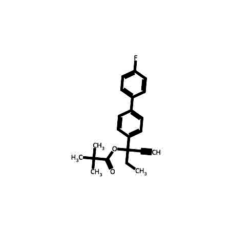 C#CC(CC)(OC(=O)C(C)(C)C)c1ccc(-c2ccc(F)cc2)cc1